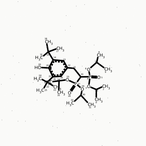 CC(C)OP(=O)(OC(C)C)C(Cc1cc(C(C)(C)C)c(O)c(C(C)(C)C)c1)P(=O)(OC(C)C)OC(C)C